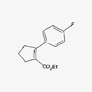 CCOC(=O)C1=C(c2ccc(F)cc2)CCC1